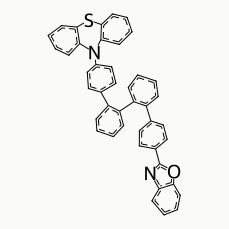 c1ccc2c(c1)Sc1ccccc1N2c1ccc(-c2ccccc2-c2ccccc2-c2ccc(-c3nc4ccccc4o3)cc2)cc1